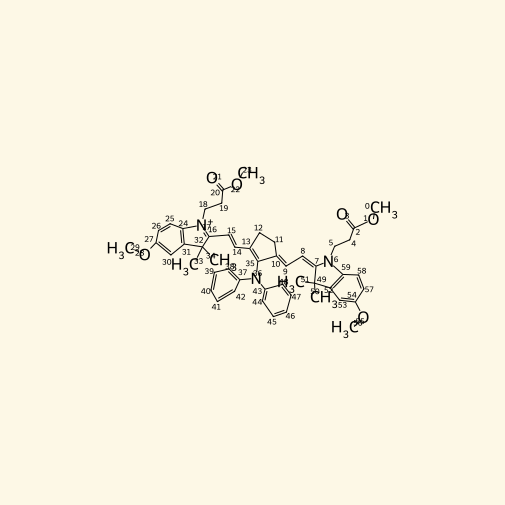 COC(=O)CCN1/C(=C/C=C2\CCC(/C=C/C3=[N+](CCC(=O)OC)c4ccc(OC)cc4C3(C)C)=C2N(c2ccccc2)c2ccccc2)C(C)(C)c2cc(OC)ccc21